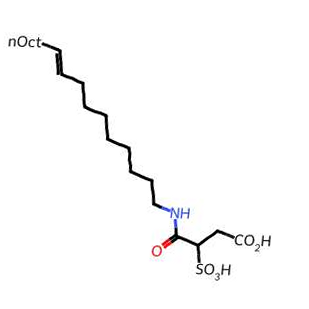 CCCCCCCCC=CCCCCCCCCNC(=O)C(CC(=O)O)S(=O)(=O)O